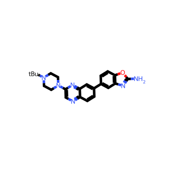 CC(C)(C)N1CCN(c2cnc3ccc(-c4ccc5oc(N)nc5c4)cc3n2)CC1